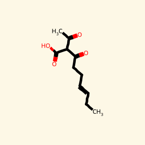 CCC=CCCC(=O)C(C(C)=O)C(=O)O